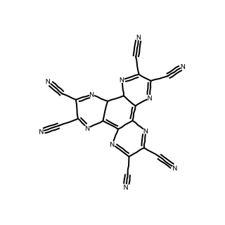 N#CC1=NC2=c3nc(C#N)c(C#N)nc3=C3N=C(C#N)C(C#N)=NC3C2N=C1C#N